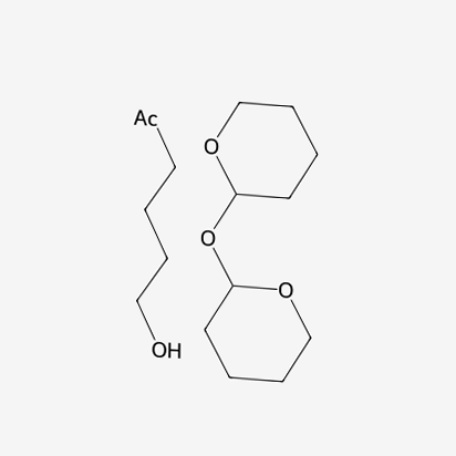 C1CCC(OC2CCCCO2)OC1.CC(=O)CCCCO